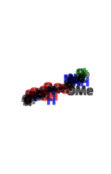 COc1cc2c(Nc3ccc(F)c(Cl)c3)ncnc2cc1OCCOCCNC(=O)COc1ccc(Cn2c(=O)oc3ccc(C)cc32)cc1O